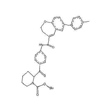 Cc1ccc(-c2ccc3c(c2)C=C(C(=O)Nc2ccc(C(=O)C4CCCCN4C(=O)OC(C)(C)C)cc2)CCO3)cc1